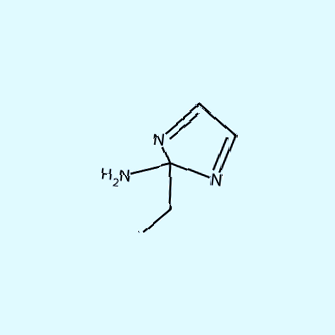 [CH2]CC1(N)N=CC=N1